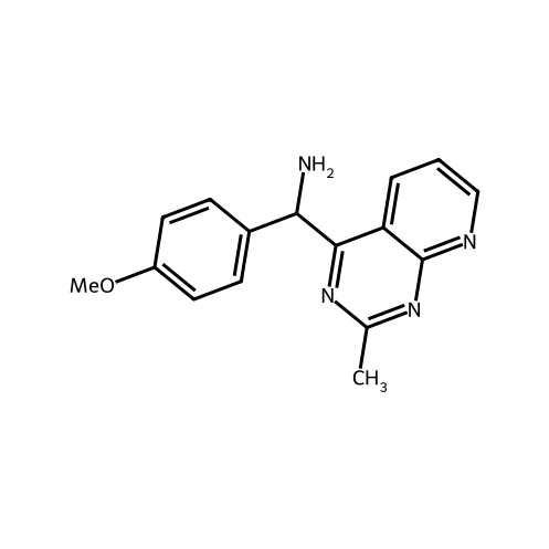 COc1ccc(C(N)c2nc(C)nc3ncccc23)cc1